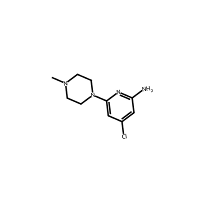 CN1CCN(c2cc(Cl)cc(N)n2)CC1